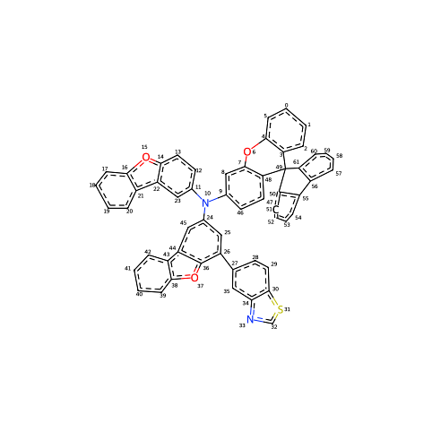 c1ccc2c(c1)Oc1cc(N(c3ccc4oc5ccccc5c4c3)c3cc(-c4ccc5scnc5c4)c4oc5ccccc5c4c3)ccc1C21c2ccccc2-c2ccccc21